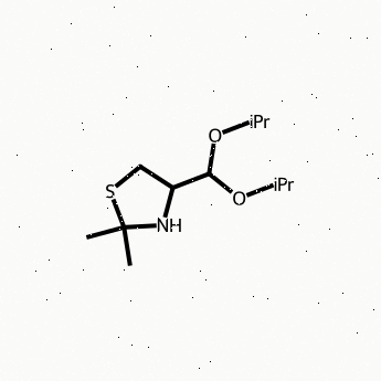 CC(C)OC(OC(C)C)C1CSC(C)(C)N1